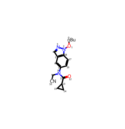 CCCCOn1ncc2cc(N(CC#N)C(=O)C3CC3)ccc21